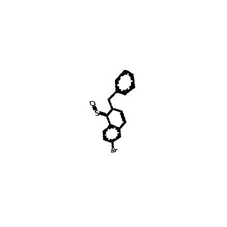 O=S=C1c2ccc(Br)cc2C=CC1Cc1ccccc1